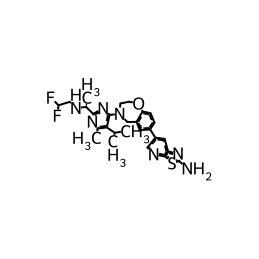 Cc1nc([C@@H](C)NCC(F)F)nc(N2CCOc3ccc(-c4cnc5sc(N)nc5c4)cc3C2)c1C(C)C